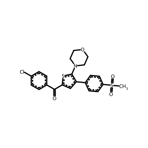 CS(=O)(=O)c1ccc(-c2cc(C(=O)c3ccc(Cl)cc3)sc2N2CCOCC2)cc1